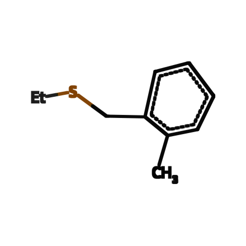 CCSCc1ccccc1C